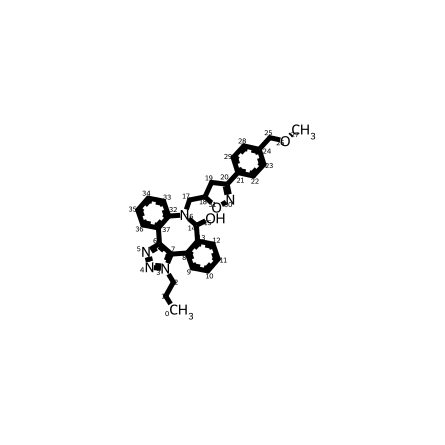 CCCn1nnc2c1-c1ccccc1C(O)N(CC1CC(c3ccc(COC)cc3)=NO1)c1ccccc1-2